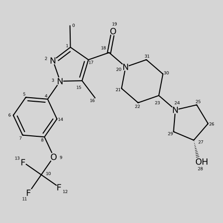 Cc1nn(-c2cccc(OC(F)(F)F)c2)c(C)c1C(=O)N1CCC(N2CC[C@H](O)C2)CC1